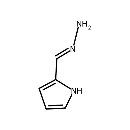 NN=Cc1ccc[nH]1